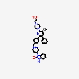 N#Cc1cc(-c2ccccc2)c(-c2ccc(CN3CCC(n4c(=O)[nH]c5ccccc54)CC3)cc2)nc1N1CCN(CCO)CC1